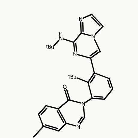 Cc1ccc2c(=O)n(-c3cccc(-c4cn5ccnc5c(NC(C)(C)C)n4)c3C(C)(C)C)cnc2c1